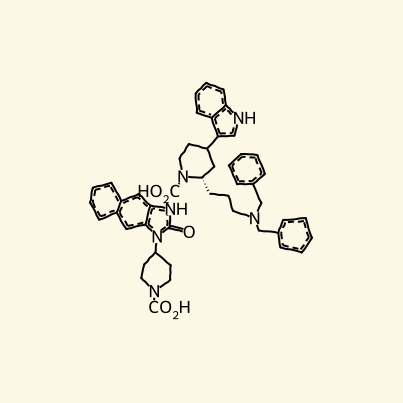 O=C(O)N1CCC(c2c[nH]c3ccccc23)C[C@@H]1CCCN(Cc1ccccc1)Cc1ccccc1.O=C(O)N1CCC(n2c(=O)[nH]c3cc4ccccc4cc32)CC1